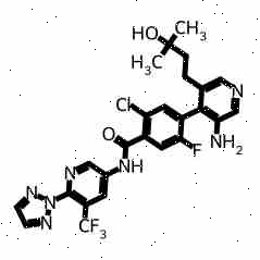 CC(C)(O)CCc1cncc(N)c1-c1cc(Cl)c(C(=O)Nc2cnc(-n3nccn3)c(C(F)(F)F)c2)cc1F